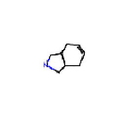 C1=CCC2C[N]CC2C1